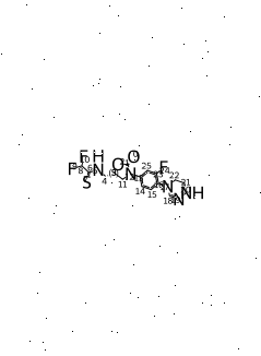 O=C1O[C@@H](CNC(=S)C(F)F)CN1c1ccc(N2C=NNCC2)c(F)c1